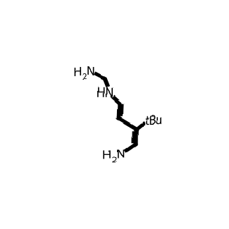 CC(C)(C)C(/C=C/NCN)=C/N